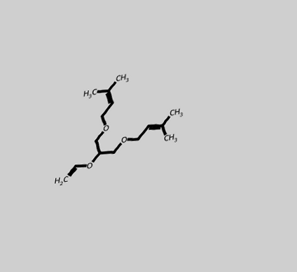 C=COC(COCC=C(C)C)COCC=C(C)C